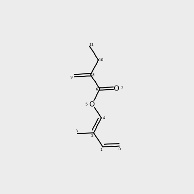 C=CC(C)=COC(=O)C(=C)CC